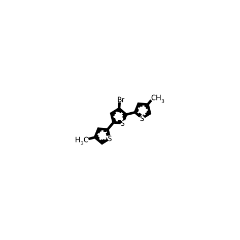 Cc1csc(-c2cc(Br)c(-c3cc(C)cs3)s2)c1